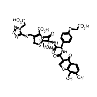 CO[C@@]1(NC(=O)C(NC(=O)c2coc3c(O)c(O)ccc3c2=O)c2ccc(OCC(=O)O)cc2)C(=O)N2C(C(=O)O)=C(CSc3nnnn3CC(=O)O)CS[C@H]21